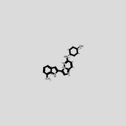 Cc1cccc2cc(-c3cnc4ccc(N[C@H]5CC[C@H](O)CC5)nn34)[nH]c12